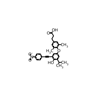 Cc1cc(CCC(=O)O)cc(C)c1Oc1cc(C#Cc2ccc([N+](=O)[O-])cc2)c(O)c(C(C)C)c1